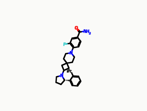 CC(C)c1ccccc1[C@@H]1CCCN1C1CC2(CCN(c3ccc(C(N)=O)cc3F)CC2)C1